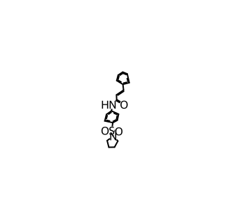 O=C(C=Cc1ccccc1)Nc1ccc(S(=O)(=O)N2CCCC2)cc1